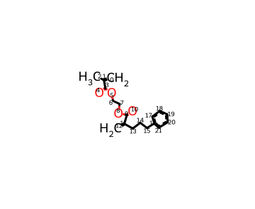 C=C(C)C(=O)OCCOC(=O)C(=C)CCCc1ccccc1